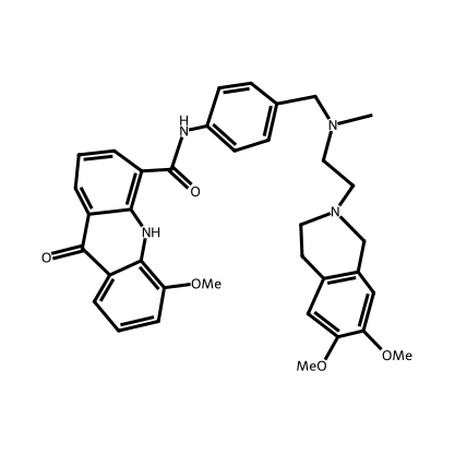 COc1cc2c(cc1OC)CN(CCN(C)Cc1ccc(NC(=O)c3cccc4c(=O)c5cccc(OC)c5[nH]c34)cc1)CC2